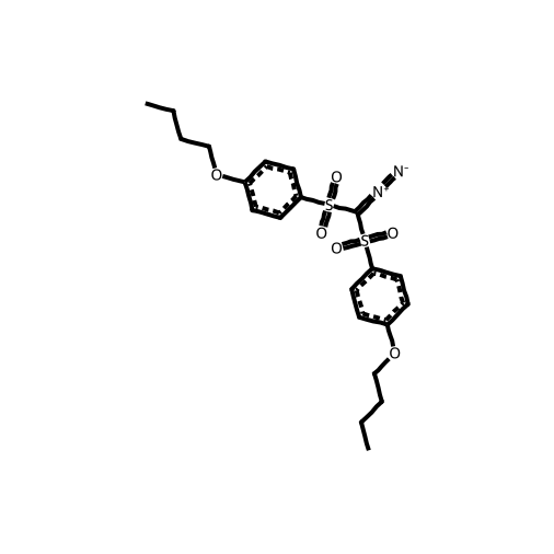 CCCCOc1ccc(S(=O)(=O)C(=[N+]=[N-])S(=O)(=O)c2ccc(OCCCC)cc2)cc1